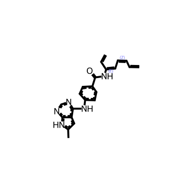 C=C/C=C\C=C(/C=C)NC(=O)c1ccc(Nc2ncnc3[nH]c(C)cc23)cc1